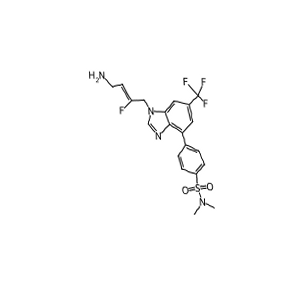 CN(C)S(=O)(=O)c1ccc(-c2cc(C(F)(F)F)cc3c2ncn3C/C(F)=C/CN)cc1